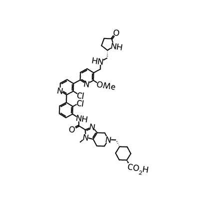 COc1nc(-c2ccnc(-c3cccc(NC(=O)c4nc5c(n4C)CCN(C[C@H]4CC[C@H](C(=O)O)CC4)C5)c3Cl)c2Cl)ccc1CNC[C@@H]1CCC(=O)N1